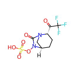 O=C1N2C[C@@H](CC[C@H]2C(=O)C(F)(F)F)N1OS(=O)(=O)O